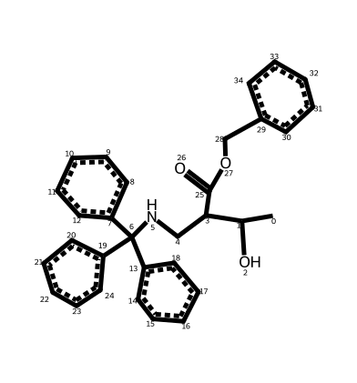 CC(O)C(CNC(c1ccccc1)(c1ccccc1)c1ccccc1)C(=O)OCc1ccccc1